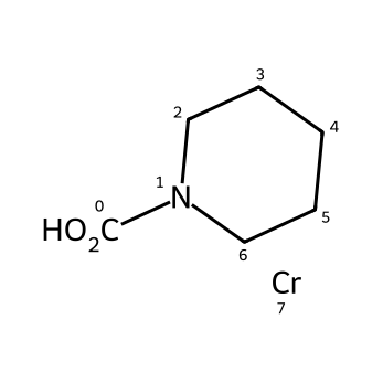 O=C(O)N1CCCCC1.[Cr]